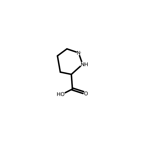 O=C(O)C1CCC[N]N1